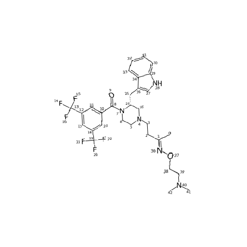 C/C(CCN1CCN(C(=O)c2cc(C(F)(F)F)cc(C(F)(F)F)c2)[C@H](Cc2c[nH]c3ccccc23)C1)=N\OCCN(C)C